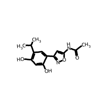 CC(=O)Nc1cc(-c2cc(C(C)C)c(O)cc2O)no1